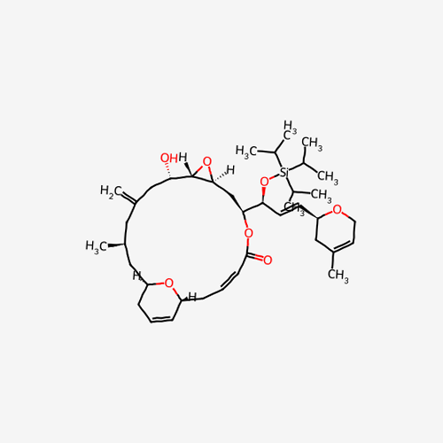 C=C1C[C@H](C)C[C@@H]2CC=C[C@@H](C/C=C\C(=O)O[C@H]([C@H](/C=C/[C@@H]3CC(C)=CCO3)O[Si](C(C)C)(C(C)C)C(C)C)C[C@@H]3O[C@H]3[C@@H](O)C1)O2